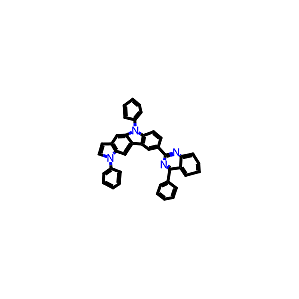 c1ccc(-c2nc(-c3ccc4c(c3)c3cc5c(ccn5-c5ccccc5)cc3n4-c3ccccc3)nc3ccccc23)cc1